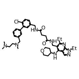 CCc1nc2c(cnn2CC)c(NC2CCOCC2)c1CNC(=O)CCC(=O)NCc1ccc(Cl)c(-c2cccc(CN(C)CCN(C)C)c2)c1